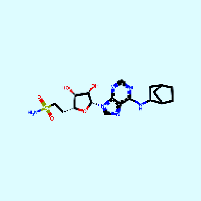 NS(=O)(=O)CC[C@H]1O[C@@H](n2cnc3c(NC4CC5CCC4C5)ncnc32)[C@H](O)[C@@H]1O